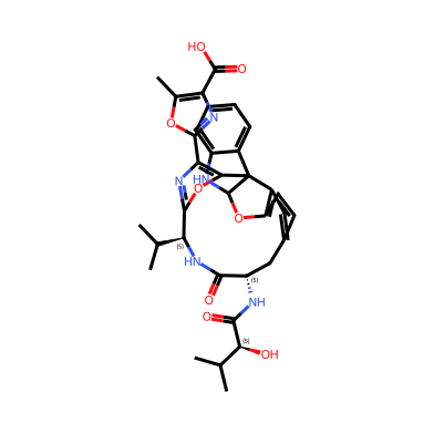 Cc1oc(-c2nc3oc2C24c5ccccc5NC2Oc2ccc(cc24)C[C@H](NC(=O)[C@@H](O)C(C)C)C(=O)N[C@H]3C(C)C)nc1C(=O)O